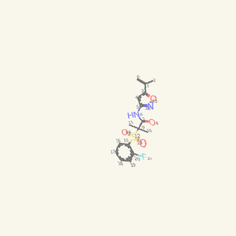 C=C(C)c1cc(NC(=O)C(C)(C)S(=O)(=O)c2ccccc2F)no1